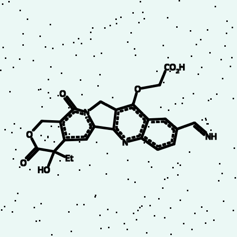 CCC1(O)C(=O)OCc2c1cc1n(c2=O)Cc2c-1nc1ccc(C=N)cc1c2OCC(=O)O